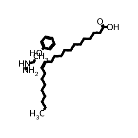 CCCCCCCC/C=C\CCCCCCCCCCCC(=O)O.CCNN.Oc1ccccc1